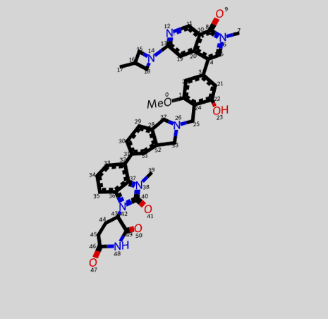 COc1cc(-c2cn(C)c(=O)c3cnc(N4CC(C)C4)cc23)cc(O)c1CN1Cc2ccc(-c3cccc4c3n(C)c(=O)n4C3CCC(=O)NC3=O)cc2C1